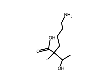 [CH2]C(CCCCN)(C(=O)O)C(C)O